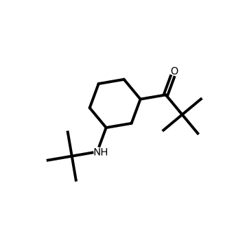 CC(C)(C)NC1CCCC(C(=O)C(C)(C)C)C1